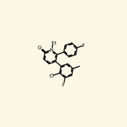 CCn1c(-c2ccc(F)cc2)c(-c2cc(C)cc(F)c2Cl)ccc1=O